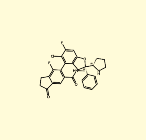 CNC(=O)c1cc2c(c(F)c1-c1c(Cl)c(F)cc3c1C[C@](c1ccccc1)([C@@H]1CCCN1)O3)CCC2=O